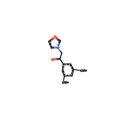 COc1cc(OC)cc(C(=O)C[n+]2ccoc2)c1